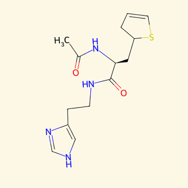 CC(=O)N[C@@H](CC1CC=CS1)C(=O)NCCc1c[nH]cn1